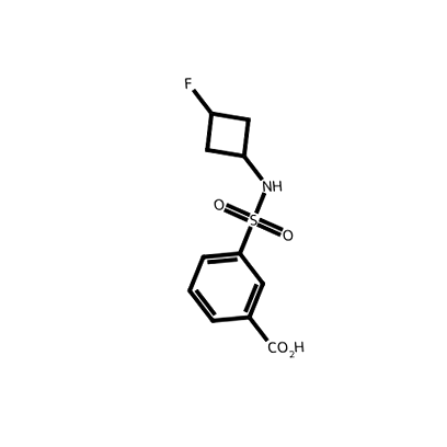 O=C(O)c1cccc(S(=O)(=O)NC2CC(F)C2)c1